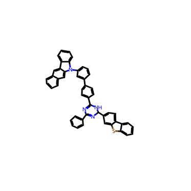 c1ccc(C2=NC(c3ccc4c(c3)sc3ccccc34)NC(c3ccc(-c4cccc(-n5c6ccccc6c6cc7ccccc7cc65)c4)cc3)=N2)cc1